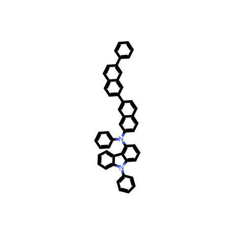 c1ccc(-c2ccc3ccc(-c4ccc5ccc(N(c6ccccc6)c6cccc7c6c6ccccc6n7-c6ccccc6)cc5c4)cc3c2)cc1